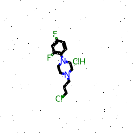 Cl.Fc1ccc(N2CCN(CCCCl)CC2)c(F)c1